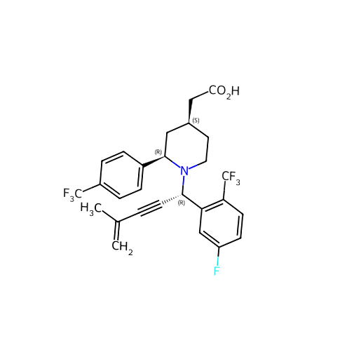 C=C(C)C#C[C@@H](c1cc(F)ccc1C(F)(F)F)N1CC[C@H](CC(=O)O)C[C@@H]1c1ccc(C(F)(F)F)cc1